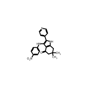 CC1(C)CC(=O)c2c([nH]c(-c3ccncc3)c2Nc2ccc([N+](=O)[O-])cc2)C1